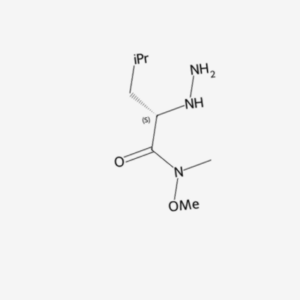 CON(C)C(=O)[C@H](CC(C)C)NN